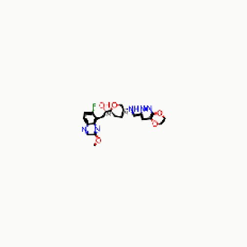 COc1cnc2ccc(F)c(C[C@H](O)[C@@H]3CC[C@@H](NCc4cc5c(nn4)OCCO5)CO3)c2n1